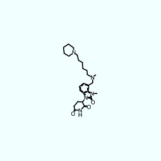 CN(CCCCCCN1CCCCC1)Cc1cccc2c1n(C)c(=O)n2C1CCC(=O)NC1=O